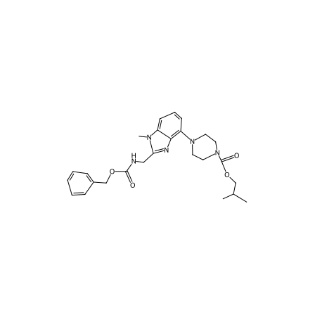 CC(C)COC(=O)N1CCN(c2cccc3c2nc(CNC(=O)OCc2ccccc2)n3C)CC1